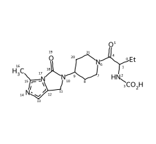 CCC(NC(=O)O)C(=O)N1CCC(N2Cc3cnc(C)n3C2=O)CC1